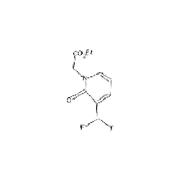 CCOC(=O)Cn1cccc(C(F)F)c1=O